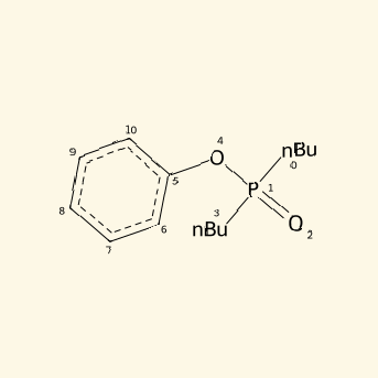 CCCCP(=O)(CCCC)Oc1ccccc1